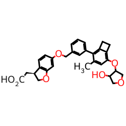 Cc1cc(OC2COCC2O)c2c(c1-c1cccc(COc3ccc4c(c3)OC[C@H]4CC(=O)O)c1)CC2